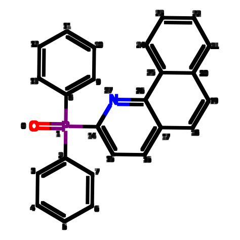 O=P(c1ccccc1)(c1ccccc1)c1ccc2ccc3ccccc3c2n1